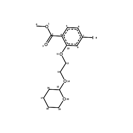 COC(=O)c1ccc(I)cc1OCCOC1CCCCO1